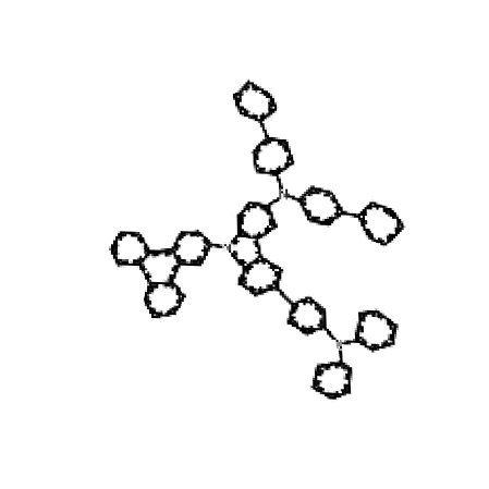 c1ccc(-c2ccc(N(c3ccc(-c4ccccc4)cc3)c3ccc4c(c3)c3cc(-c5ccc(N(c6ccccc6)c6ccccc6)cc5)ccc3n4-c3ccc4c5ccccc5c5ccccc5c4c3)cc2)cc1